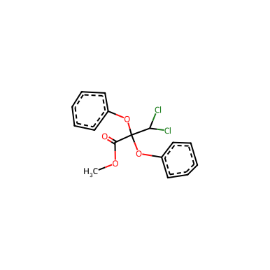 COC(=O)C(Oc1ccccc1)(Oc1ccccc1)C(Cl)Cl